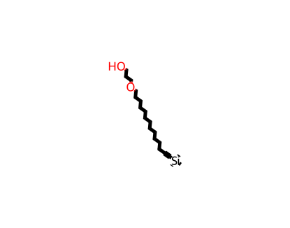 C[Si](C)(C)C#CCCCCCCCCCCCCOCCCO